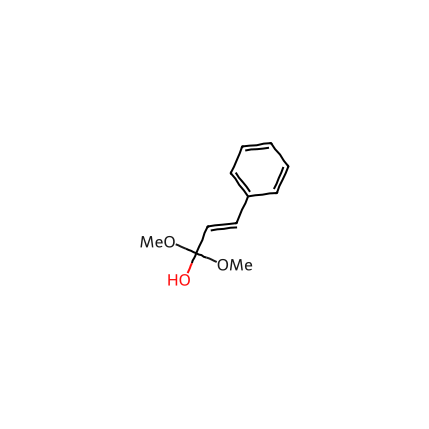 COC(O)(C=Cc1ccccc1)OC